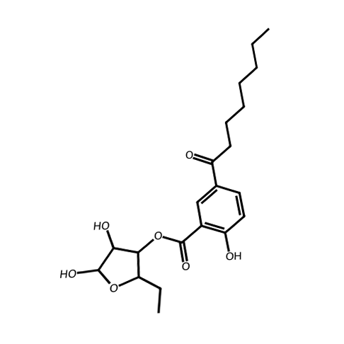 CCCCCCCC(=O)c1ccc(O)c(C(=O)OC2C(CC)OC(O)C2O)c1